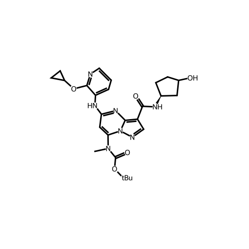 CN(C(=O)OC(C)(C)C)c1cc(Nc2cccnc2OC2CC2)nc2c(C(=O)N[C@H]3CCC(O)C3)cnn12